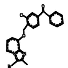 Cc1nc2c(OCc3ccc(C(=O)c4ccccc4)cc3Cl)cccn2c1Br